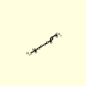 CCCCC(=O)NCCOCCOCCOCCOCCC(=O)N1CCN(C/C=C/C(C)=O)CC1